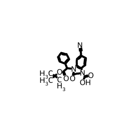 CC(C)(C)OC(=O)C(c1ccccc1)n1c(=O)n(C(=O)O)c2ccc(C#N)cc21